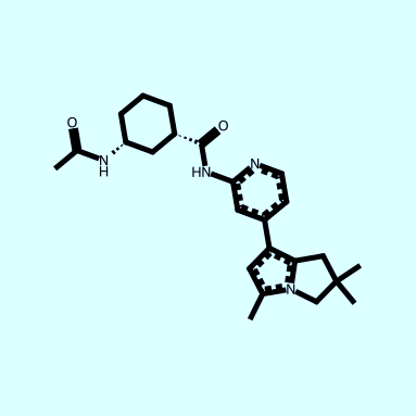 CC(=O)N[C@@H]1CCC[C@H](C(=O)Nc2cc(-c3cc(C)n4c3CC(C)(C)C4)ccn2)C1